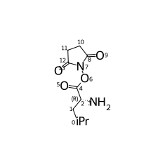 CC(C)C[C@@H](N)C(=O)ON1C(=O)CCC1=O